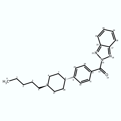 CCCCC[C@H]1CC[C@H](c2ccc(C(=O)n3nc4ccccc4n3)cc2)CC1